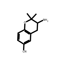 CC1(C)Oc2ccc(C#N)cc2CC1N